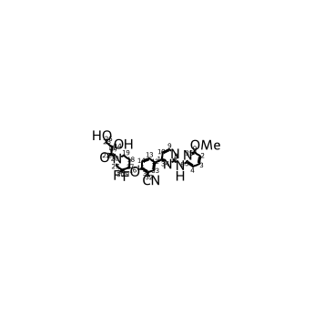 COc1cccc(Nc2nccc(-c3ccc(OC4CCN(C(=O)[C@@H](O)CO)CC4(F)F)c(C#N)c3)n2)n1